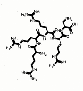 N=C(N)NCCC[C@H](NC(=O)[C@H](CCCNC(=N)N)NC(=O)[C@H](CCCNC(=N)N)NC(=O)[C@@H](N)CCCNC(=N)N)C(=O)N[C@@H](CN)C(=O)O